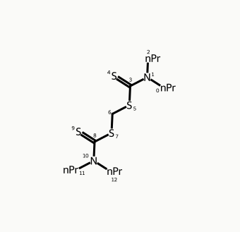 CCCN(CCC)C(=S)SCSC(=S)N(CCC)CCC